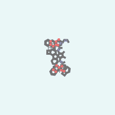 C/C=C\C=C(/C)N(/C(C)=C/C1=C(C)C(C)=C(/C=C(\C)N(C2=CC=CC3CC[C@H]23)c2ccccc2)C12C1=C(CCC(N(c3ccccc3)c3ccccc3)=C1)C1=C2C=C(N(c2ccccc2)c2ccccc2)[C@@H]2CCC12)C12C=CC=C[C@H]1C2